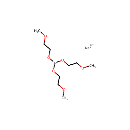 COCC[O][Al]([O]CCOC)[O]CCOC.[H-].[Na+]